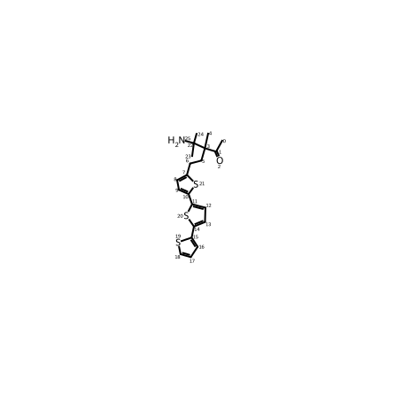 CC(=O)C(C)(CCc1ccc(-c2ccc(-c3cccs3)s2)s1)C(C)(C)N